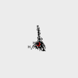 CO[C@@]12CC[C@@]3(C[C@@H]1[C@](C)(O)C(C)(C)C)[C@H]1Cc4ccc(OC(=O)OCCOCCOCF)c5c4[C@@]3(CCN1CC1CC1)[C@H]2O5